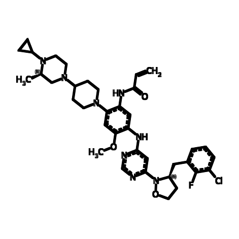 C=CC(=O)Nc1cc(Nc2cc(N3OCC[C@@H]3Cc3cccc(Cl)c3F)ncn2)c(OC)cc1N1CCC(N2CCN(C3CC3)[C@H](C)C2)CC1